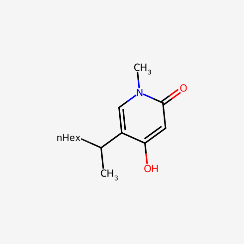 CCCCCCC(C)c1cn(C)c(=O)cc1O